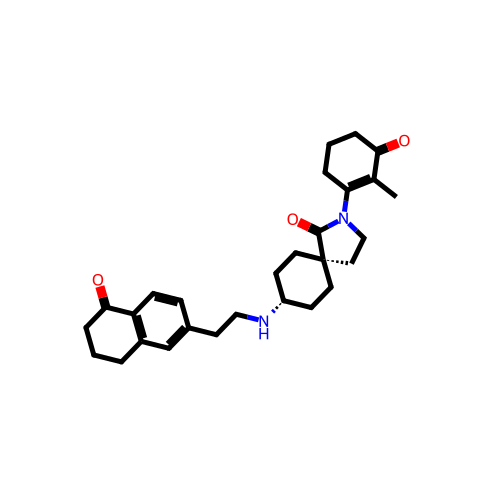 CC1=C(N2CC[C@]3(CC[C@@H](NCCc4ccc5c(c4)CCCC5=O)CC3)C2=O)CCCC1=O